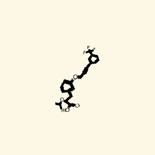 CC(C)OC(Cc1cccc(OCC#Cc2cccc(C(F)(F)F)c2)c1)C(=O)O